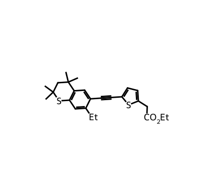 CCOC(=O)Cc1ccc(C#Cc2cc3c(cc2CC)SC(C)(C)CC3(C)C)s1